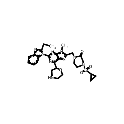 CCc1nc2ccccc2n1-c1nc(C2CNCCO2)c2nc(CN3CCN(S(=O)(=O)C4CC4)CC3=O)n(C)c2n1